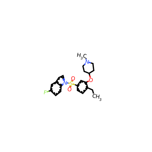 CCc1ccc(S(=O)(=O)n2ccc3cc(F)ccc32)cc1OC1CCN(C)CC1